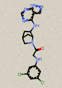 O=C(CNc1cc(Cl)cc(Cl)c1)N1CC2CC(Nc3ncnc4[nH]ncc34)C1C2